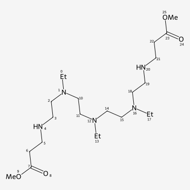 CCN(CCNCCC(=O)OC)CCN(CC)CCN(CC)CCNCCC(=O)OC